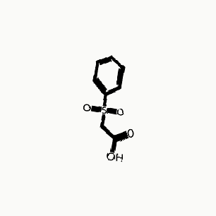 O=C(O)CS(=O)(=O)c1cc[c]cc1